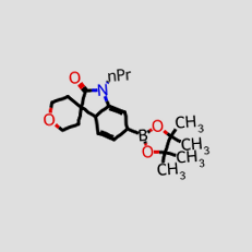 CCCN1C(=O)C2(CCOCC2)C2C=CC(B3OC(C)(C)C(C)(C)O3)C=C21